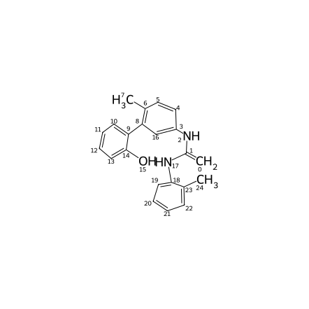 C=C(Nc1ccc(C)c(-c2ccccc2O)c1)Nc1ccccc1C